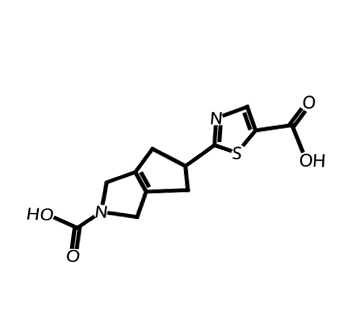 O=C(O)c1cnc(C2CC3=C(C2)CN(C(=O)O)C3)s1